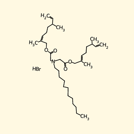 Br.C=CC(C)CCC=C(C)COC(=O)CN(CCCCCCCCCCCC)CC(=O)OCC(C)=CCCC(C)C=C